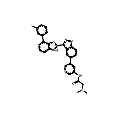 CN(C)CC(=O)Nc1cncc(-c2ccc3[nH]nc(-c4nc5c(-c6cccc(F)c6)nccc5[nH]4)c3c2)c1